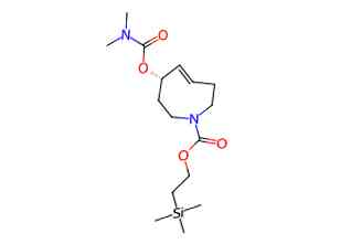 CN(C)C(=O)O[C@@H]1/C=C/CCN(C(=O)OCC[Si](C)(C)C)CC1